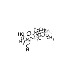 C#CCN(c1ccc(NS(=O)(=O)c2c(C)cc(OC)c(C)c2C)c2ccccc12)[C@@H](C)CC(=O)O